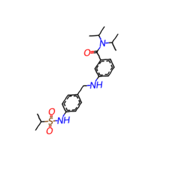 CC(C)N(C(=O)c1cccc(NCc2ccc(NS(=O)(=O)C(C)C)cc2)c1)C(C)C